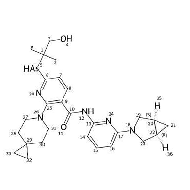 CC(C)(CO)[AsH]c1ccc(C(=O)Nc2cccc(N3C[C@H]4C[C@H]4C3)n2)c(N2CCC3(CC2)CC3)n1